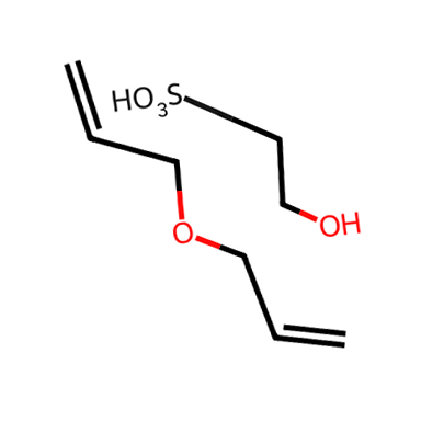 C=CCOCC=C.O=S(=O)(O)CCO